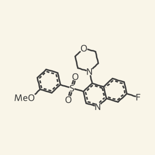 COc1cccc(S(=O)(=O)c2cnc3cc(F)ccc3c2N2CCOCC2)c1